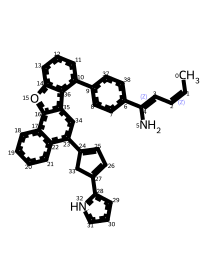 C/C=C\C=C(/N)c1ccc(-c2cccc3oc4c5ccccc5c(C5=CC=C(c6ccc[nH]6)C5)cc4c23)cc1